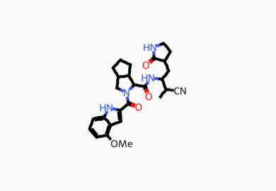 COc1cccc2[nH]c(C(=O)N3CC4CCCC4C3C(=O)NC(CC3CCNC3=O)C(C)C#N)cc12